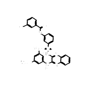 CCCc1cc(Nc2nc3ccccc3nc2NS(=O)(=O)c2cccc(NC(=O)c3cccc(Cl)c3)c2)cc(OC)c1